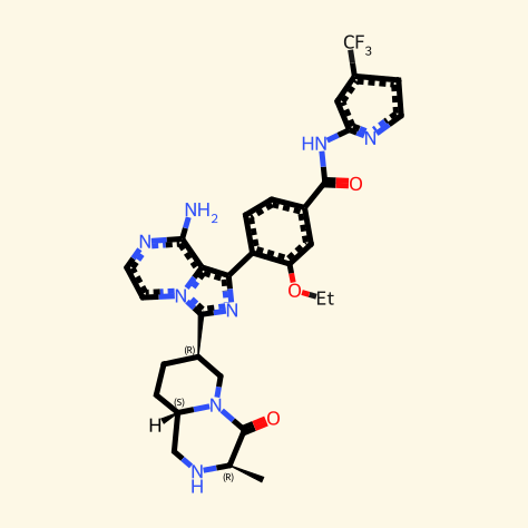 CCOc1cc(C(=O)Nc2cc(C(F)(F)F)ccn2)ccc1-c1nc([C@@H]2CC[C@H]3CN[C@H](C)C(=O)N3C2)n2ccnc(N)c12